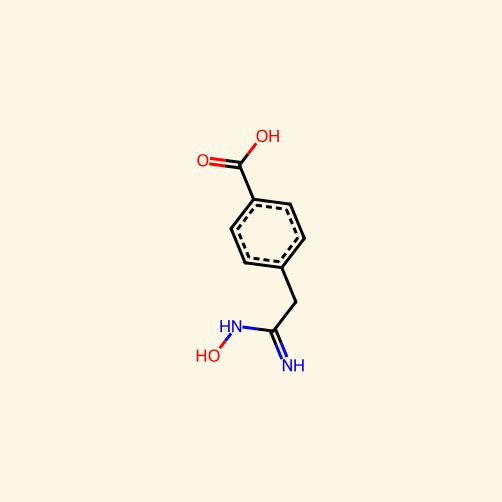 N=C(Cc1ccc(C(=O)O)cc1)NO